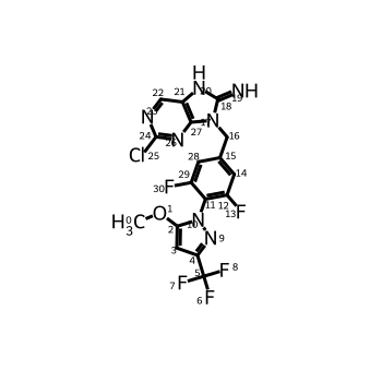 COc1cc(C(F)(F)F)nn1-c1c(F)cc(Cn2c(=N)[nH]c3cnc(Cl)nc32)cc1F